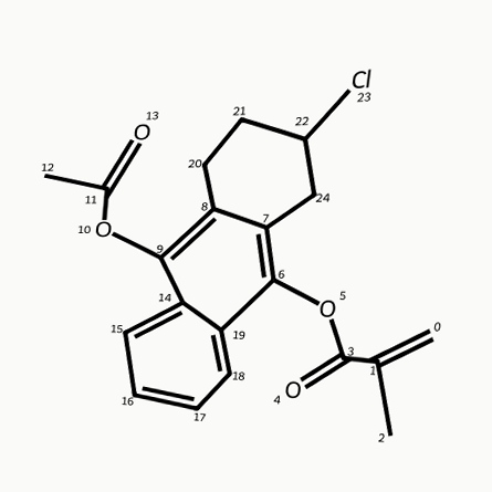 C=C(C)C(=O)Oc1c2c(c(OC(C)=O)c3ccccc13)CCC(Cl)C2